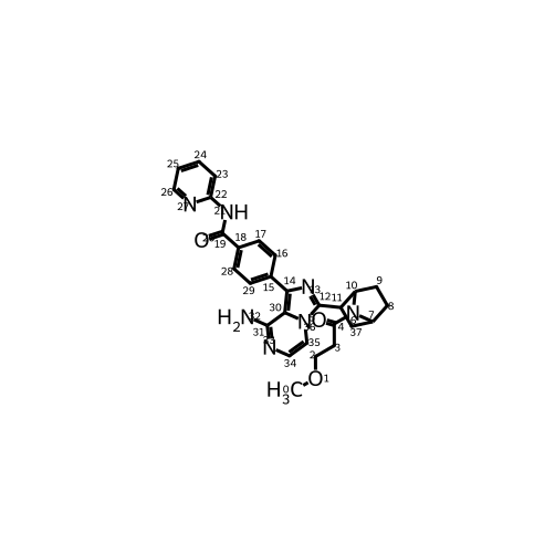 COCCC(=O)N1C2CCC1C(c1nc(-c3ccc(C(=O)Nc4ccccn4)cc3)c3c(N)nccn13)C2